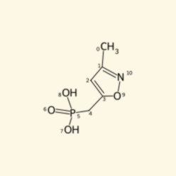 Cc1cc(CP(=O)(O)O)on1